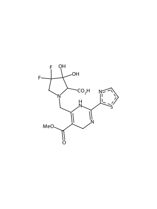 COC(=O)C1=C(CN2CC(F)(F)C(O)(O)C2C(=O)O)NC(c2nccs2)=NC1